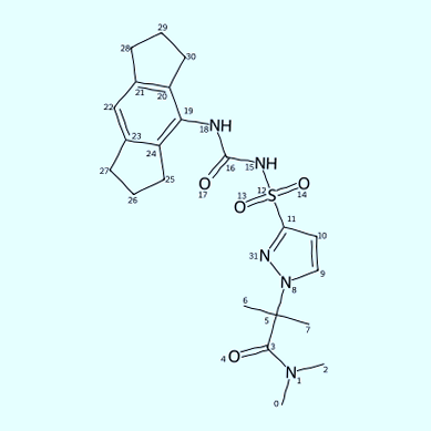 CN(C)C(=O)C(C)(C)n1ccc(S(=O)(=O)NC(=O)Nc2c3c(cc4c2CCC4)CCC3)n1